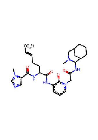 CCOC(=O)/C=C/CC[C@H](NC(=O)c1cncn1C)C(=O)Nc1cccn(CC(=O)NC2C3CCCC(C3)CN2C)c1=O